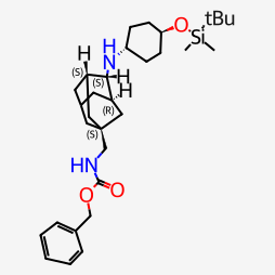 CC(C)(C)[Si](C)(C)O[C@H]1CC[C@H](N[C@@H]2[C@@H]3CC4C[C@H]2C[C@@](CNC(=O)OCc2ccccc2)(C4)C3)CC1